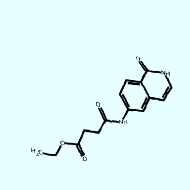 CCOC(=O)CCC(=O)Nc1ccc2c(=O)[nH]ccc2c1